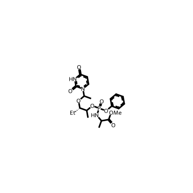 CC[C@H](OC(C)n1ccc(=O)[nH]c1=O)C(C)OP(=O)(NC(C)C(=O)OC)Oc1ccccc1